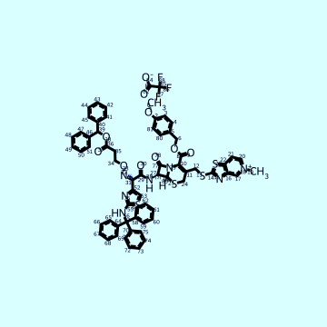 COc1ccc(COC(=O)C2=C(CSc3nc4c[n+](C)ccc4s3)CS[C@H]3[C@@H](NC(=O)/C(=N\OCCC(=O)OC(c4ccccc4)c4ccccc4)c4csc(NC(c5ccccc5)(c5ccccc5)c5ccccc5)n4)C(=O)N23)cc1.O=C([O-])C(F)(F)F